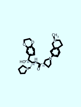 CN1CCc2ccc(N3CC[C@H](C(=O)N[C@H](CN4CCCC4)[C@H](O)c4ccc5c(c4)OCCO5)C3)cc2C1